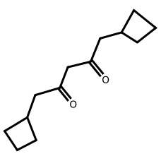 O=C(CC(=O)CC1CCC1)CC1CCC1